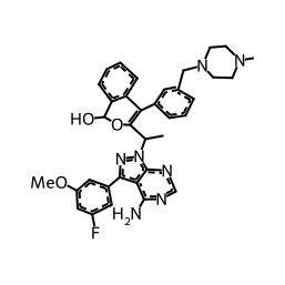 COc1cc(F)cc(-c2nn(C(C)C3=C(c4cccc(CN5CCN(C)CC5)c4)c4ccccc4C(O)O3)c3ncnc(N)c23)c1